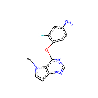 CC(C)n1ccc2ncnc(Oc3ccc(N)cc3F)c21